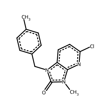 Cc1ccc(Cn2c(=O)n(C)c3nc(Cl)ccc32)cc1